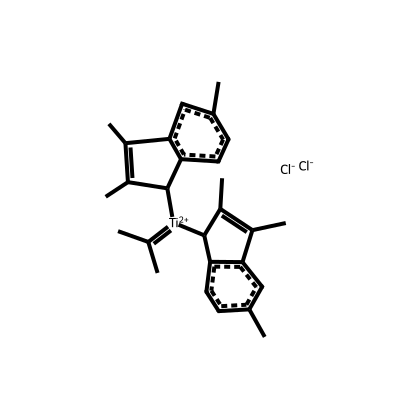 CC1=C(C)[CH]([Ti+2](=[C](C)C)[CH]2C(C)=C(C)c3cc(C)ccc32)c2ccc(C)cc21.[Cl-].[Cl-]